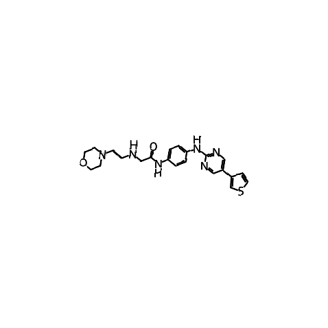 O=C(CNCCN1CCOCC1)Nc1ccc(Nc2ncc(-c3ccsc3)cn2)cc1